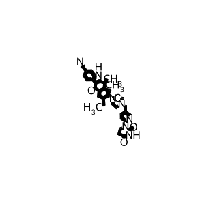 CCc1cc2c(cc1N1CCN(Cc3ccc(N4CCC(=O)NC4=O)nc3)CC1)C(C)(C)c1[nH]c3cc(C#N)ccc3c1C2=O